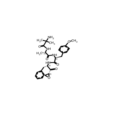 COc1ccc(C[C@H](NC(=O)[C@H](C)NC(=O)C(C)(C)N)C(=O)N[C@@H](Cc2ccccc2)C(=O)[C@H]2CO2)cc1